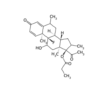 CCC(=O)O[C@]1(C(C)=O)C(C)C[C@H]2[C@@H]3CC(C)C4=CC(=O)C=C[C@]4(C)[C@@]3(F)C(O)C[C@@]21C